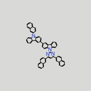 c1ccc2cc(-c3cc(-c4ccc5ccccc5c4)nc(-n4c5ccccc5c5cc(-c6ccc7c(c6)c6ccccc6n7-c6ccc7ccccc7c6)ccc54)n3)ccc2c1